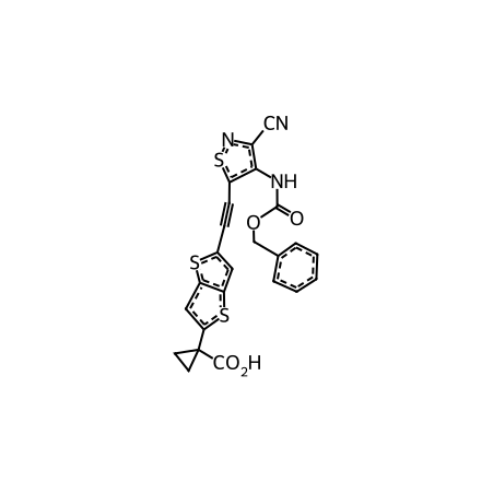 N#Cc1nsc(C#Cc2cc3sc(C4(C(=O)O)CC4)cc3s2)c1NC(=O)OCc1ccccc1